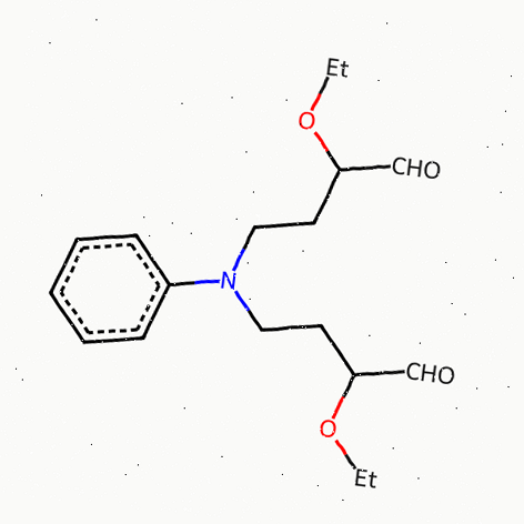 CCOC(C=O)CCN(CCC(C=O)OCC)c1ccccc1